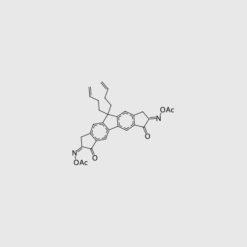 C=CCCC1(CCC=C)c2cc3c(cc2-c2cc4c(cc21)C/C(=N\OC(C)=O)C4=O)C(=O)/C(=N\OC(C)=O)C3